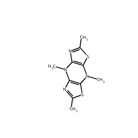 Cc1nc2c(s1)N(C)c1sc(C)nc1N2C